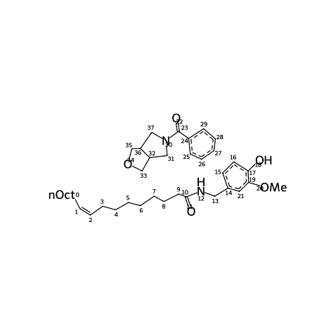 CCCCCCCC/C=C\CCCCCCCC(=O)NCc1ccc(O)c(OC)c1.O=C(c1ccccc1)N1CC2COCC2C1